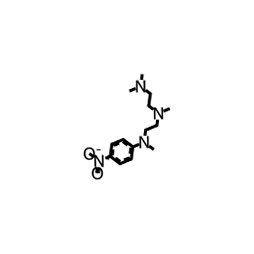 CN(C)CCN(C)CCN(C)c1ccc([N+](=O)[O-])cc1